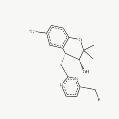 CC1(C)Oc2ccc(C#N)cc2[C@@H](Sc2nccc(CF)n2)[C@@H]1O